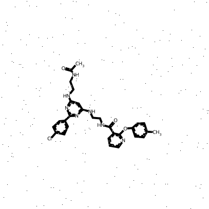 CC(=O)NCCNc1cc(NCCNC(=O)c2cccnc2Oc2ccc(C)cc2)nc(-c2ccc(Cl)cc2)n1